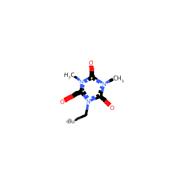 CCC(C)Cn1c(=O)n(C)c(=O)n(C)c1=O